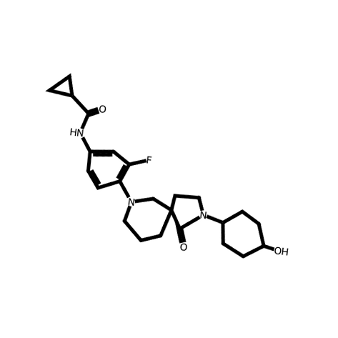 O=C(Nc1ccc(N2CCCC3(CCN(C4CCC(O)CC4)C3=O)C2)c(F)c1)C1CC1